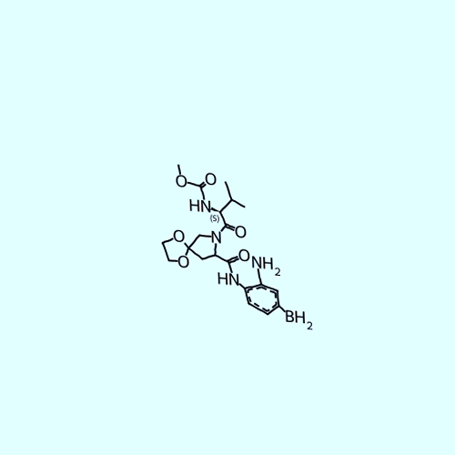 Bc1ccc(NC(=O)C2CC3(CN2C(=O)[C@@H](NC(=O)OC)C(C)C)OCCO3)c(N)c1